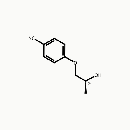 C[C@H](O)COc1ccc(C#N)cc1